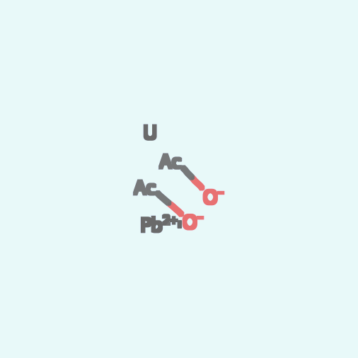 CC(=O)[O-].CC(=O)[O-].[Pb+2].[U]